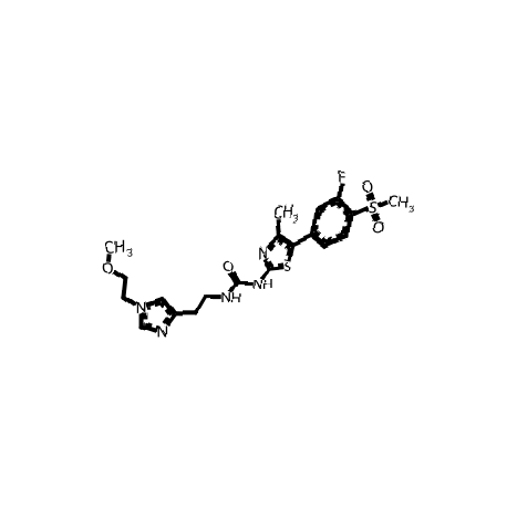 COCCn1cnc(CCNC(=O)Nc2nc(C)c(-c3ccc(S(C)(=O)=O)c(F)c3)s2)c1